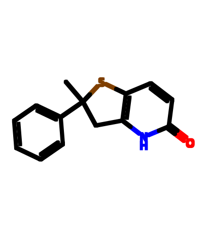 CC1(c2ccccc2)Cc2[nH]c(=O)ccc2S1